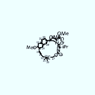 COC(=O)[C@@H]1C[C@]2(OC)CN1C(=O)[C@H](C(C)C)NC(=O)OCCC(C)(C)CC=Cc1cc3cc2ccc3cc1OC